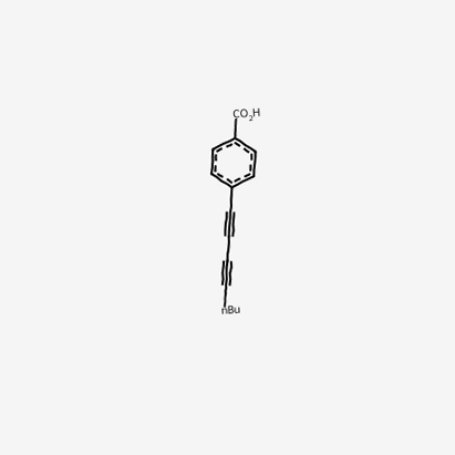 CCCCC#CC#Cc1ccc(C(=O)O)cc1